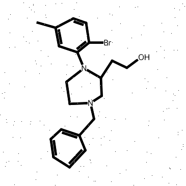 Cc1ccc(Br)c(N2CCN(Cc3ccccc3)CC2CCO)c1